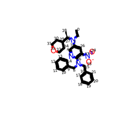 CCN(c1cnc(N(Cc2ccccc2)Cc2ccccc2)c([N+](=O)[O-])c1)[C@H](C)C1CCOCC1